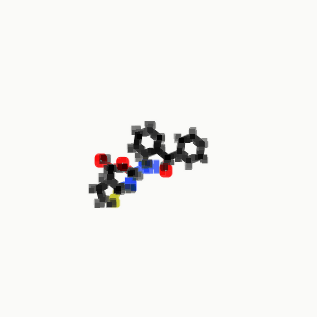 O=C(c1ccccc1)c1ccccc1Nc1nc2sccc2c(=O)o1